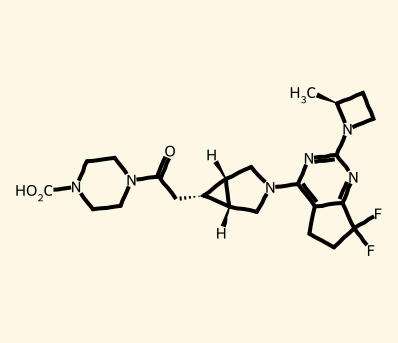 C[C@H]1CCN1c1nc(N2C[C@@H]3[C@H](CC(=O)N4CCN(C(=O)O)CC4)[C@@H]3C2)c2c(n1)C(F)(F)CC2